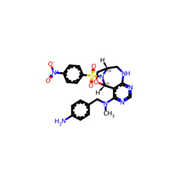 CN(Cc1ccc(N)cc1)c1ncnc2c1[C@@H]1OC[C@H](CN2)N1S(=O)(=O)c1ccc([N+](=O)[O-])cc1